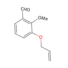 C=CCOc1cccc(C=O)c1OC